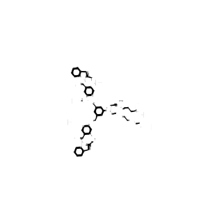 CCCOCCOCCN(CC(C)(C)SCCCC(=O)O)c1cc(COc2cc3c(cc2C)C(=O)N2c4ccccc4C[C@H]2C=N3)cc(COc2cc3c(cc2OC)C(=O)N2c4ccccc4C[C@H]2CN3)c1